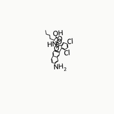 CCCCC(NS(=O)(=O)c1cc(Cl)cc(Cl)c1-c1ccc2ccc(N)cc2c1)C(=O)O